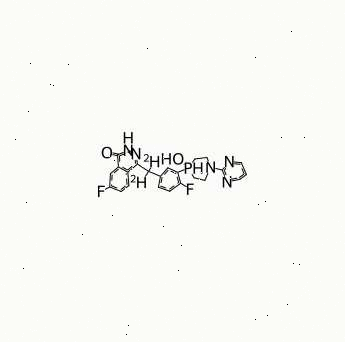 [2H]C([2H])(c1ccc(F)c([PH]2(O)CCN(c3ncccn3)CC2)c1)c1n[nH]c(=O)c2cc(F)ccc12